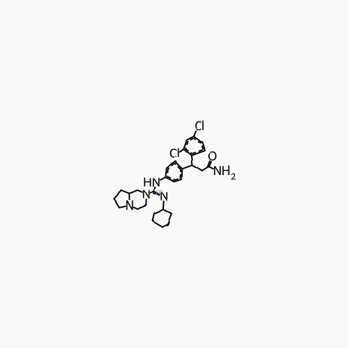 NC(=O)CC(c1ccc(N/C(=N/C2CCCCC2)N2CCN3CCCC3C2)cc1)c1ccc(Cl)cc1Cl